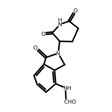 O=CNc1cccc2c1CN(C1CCC(=O)NC1=O)C2=O